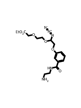 CCOC(=O)COCCOC(COc1cccc(C(=O)NCCN)c1)N=[N+]=[N-]